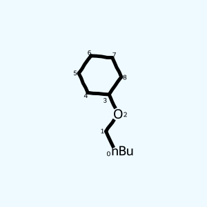 [CH2]CCCCOC1CCCCC1